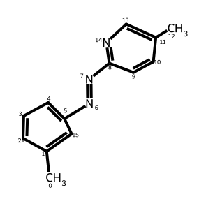 Cc1[c]ccc(/N=N/c2ccc(C)cn2)c1